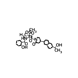 C[C@H](O)c1ccc2cc(-c3ccn(C(O)CC(C)(CNC(=O)c4ccccc4O)S(C)(=O)=O)c(=O)c3)ccc2c1